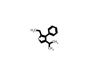 CCc1scc(C(C)C)c1-c1ccccc1